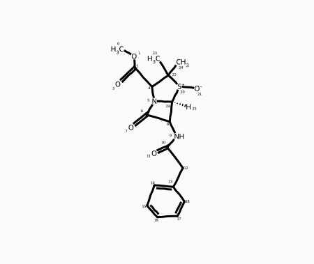 COC(=O)C1N2C(=O)C(NC(=O)Cc3ccccc3)[C@@H]2[S+]([O-])C1(C)C